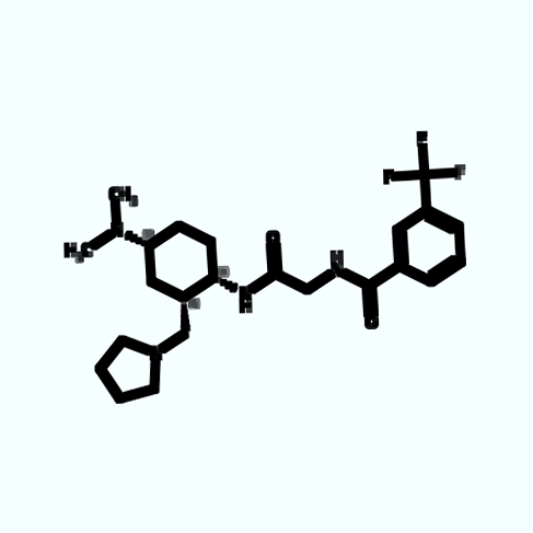 CN(C)[C@@H]1CC[C@H](NC(=O)CNC(=O)c2cccc(C(F)(F)F)c2)[C@H](CN2CCCC2)C1